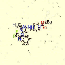 Cc1nc(NCC2CCN(C(=O)OC(C)(C)C)CC2)cc(-n2c(C(F)F)nc3ccccc32)n1